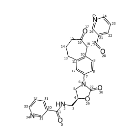 O=C(NC[C@H]1CN(c2ccc3c(c2)CCCC(=O)[C@@H]3C(=O)c2cccnc2)C(=O)O1)c1cccnc1